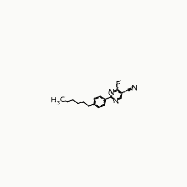 CCCCCCc1ccc(-c2ncc(C#N)c(F)n2)cc1